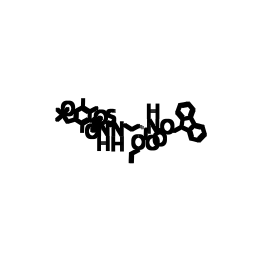 C=CCOC(=O)[C@H](CCCNC(=S)NS(=O)(=O)c1c(C)c(C)c2c(c1C)CC(C)(C)O2)NC(=O)OCC1c2ccccc2-c2ccccc21